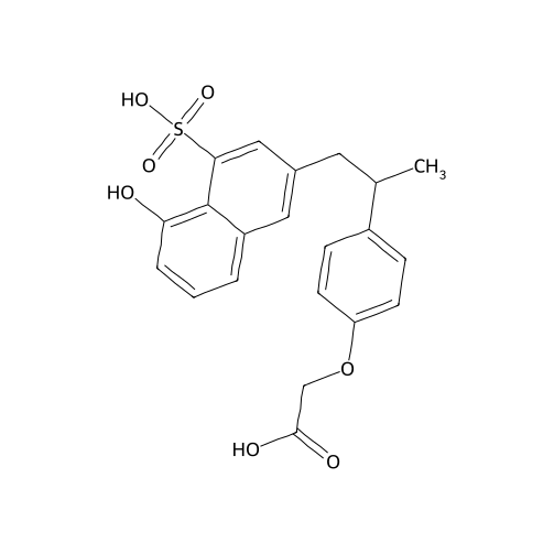 CC(Cc1cc(S(=O)(=O)O)c2c(O)cccc2c1)c1ccc(OCC(=O)O)cc1